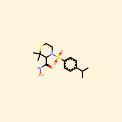 CC(C)c1ccc(S(=O)(=O)N2CCSC(C)(C)C2C(=O)NO)cc1